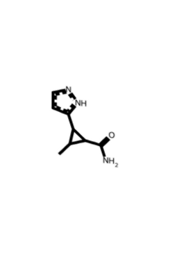 CC1C(C(N)=O)C1c1ccn[nH]1